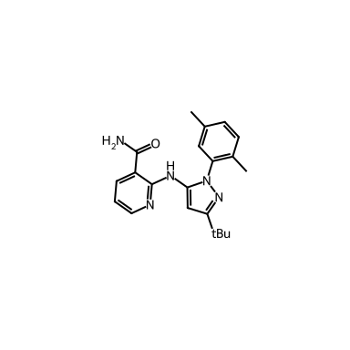 Cc1ccc(C)c(-n2nc(C(C)(C)C)cc2Nc2ncccc2C(N)=O)c1